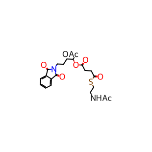 CC(=O)NCCSC(=O)CCC(=O)OC(CCCN1C(=O)c2ccccc2C1=O)OC(C)=O